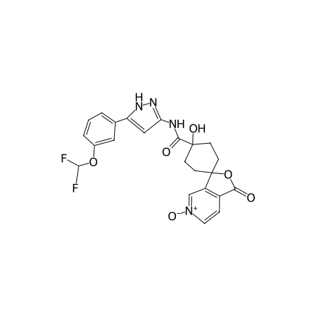 O=C1OC2(CCC(O)(C(=O)Nc3cc(-c4cccc(OC(F)F)c4)[nH]n3)CC2)c2c[n+]([O-])ccc21